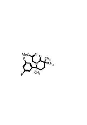 COC(=O)CN1C(=O)C(C)(C)CC[C@@]1(C)c1cc(F)cc(F)c1